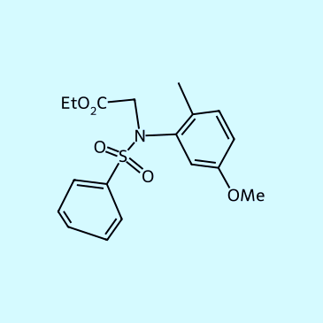 CCOC(=O)CN(c1cc(OC)ccc1C)S(=O)(=O)c1ccccc1